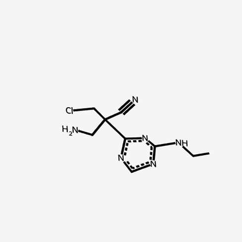 CCNc1ncnc(C(C#N)(CN)CCl)n1